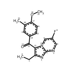 CCc1nc2ncc(F)cn2c1C(=O)c1ccc(OC)c(C)c1